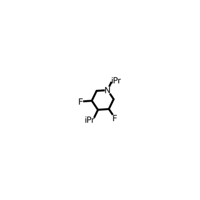 CC(C)C1C(F)CN(C(C)C)CC1F